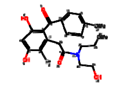 CCc1c(O)cc(O)c(C(=O)c2ccc(OC)cc2)c1CC(=O)N(CCO)CCOC